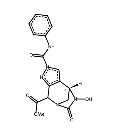 COC(=O)C1c2nn(C(=O)Nc3ccccc3)cc2[C@H]2CN1C(=O)N2O